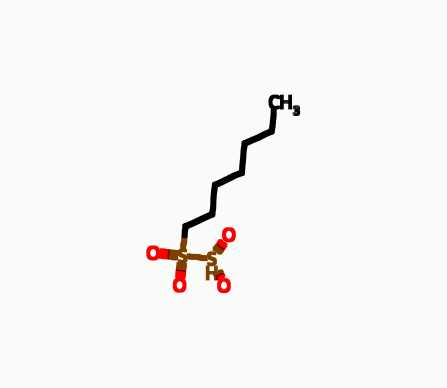 CCCCCCCS(=O)(=O)[SH](=O)=O